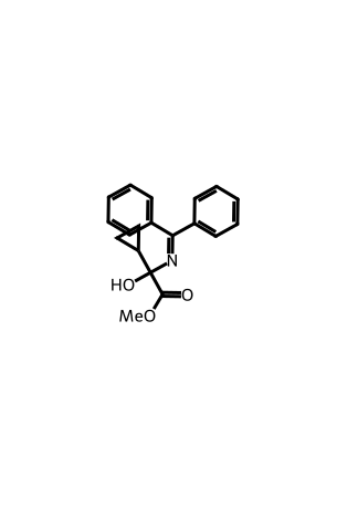 COC(=O)C(O)(N=C(c1ccccc1)c1ccccc1)C1CC1